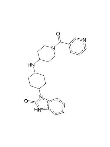 O=C(c1cccnc1)N1CCC(NC2CCC(n3c(=O)[nH]c4ccccc43)CC2)CC1